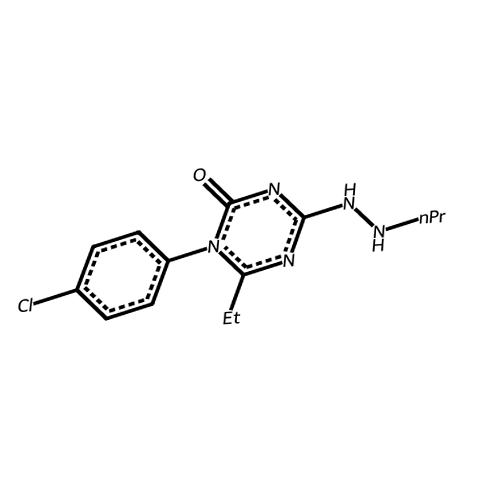 CCCNNc1nc(CC)n(-c2ccc(Cl)cc2)c(=O)n1